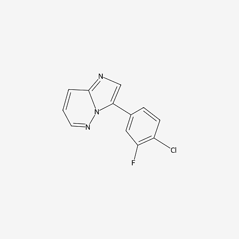 Fc1cc(-c2cnc3cccnn23)ccc1Cl